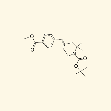 COC(=O)c1ccc(C=C2CCN(C(=O)OC(C)(C)C)C(C)(C)C2)cc1